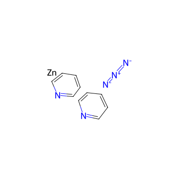 [N-]=[N+]=[N-].[Zn].c1ccncc1.c1ccncc1